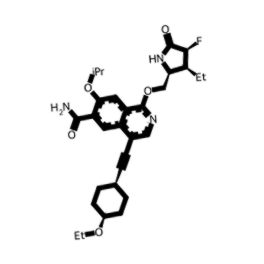 CCO[C@H]1CC[C@@H](C#Cc2cnc(OC[C@H]3NC(=O)[C@@H](F)[C@H]3CC)c3cc(OC(C)C)c(C(N)=O)cc23)CC1